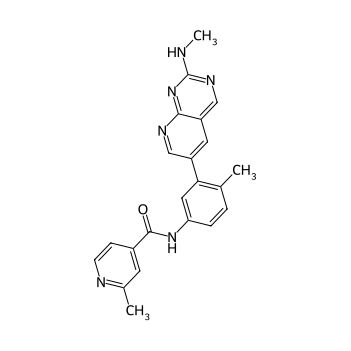 CNc1ncc2cc(-c3cc(NC(=O)c4ccnc(C)c4)ccc3C)cnc2n1